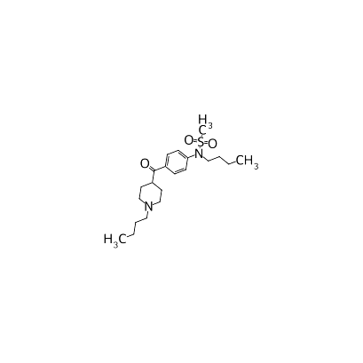 CCCCN1CCC(C(=O)c2ccc(N(CCCC)S(C)(=O)=O)cc2)CC1